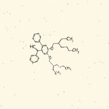 [CH]=C(c1cc[c]cc1)c1cc(OCC(CC)CCCC)c(OCC(CC)CCCC)cc1-c1ccccc1